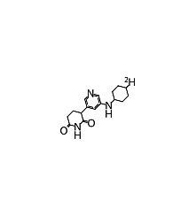 [2H]C1CCC(Nc2cncc(C3CCC(=O)NC3=O)c2)CC1